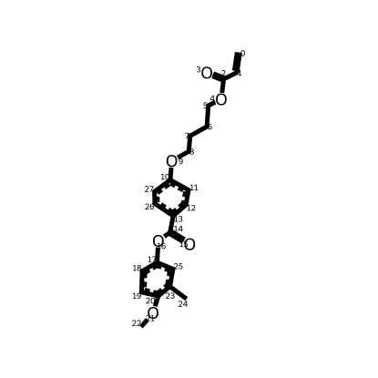 C=CC(=O)OCCCCOc1ccc(C(=O)Oc2ccc(OC)c(C)c2)cc1